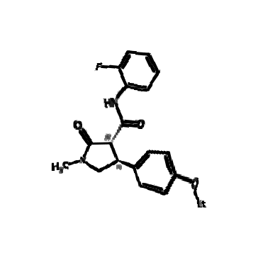 CCOc1ccc([C@H]2CN(C)C(=O)[C@@H]2C(=O)Nc2ccccc2F)cc1